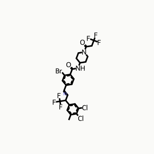 Cc1cc(C(/C=C/c2ccc(C(=O)NC3CCN(C(=O)CC(F)(F)F)CC3)c(Br)c2)C(F)(F)F)cc(Cl)c1Cl